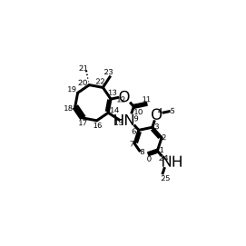 C=C(/C=C(OC)\C(=C/C)NC(=C)O/C1=C(\C)CC#CC[C@H](C)C1C)NC